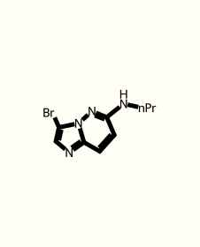 CCCNc1ccc2ncc(Br)n2n1